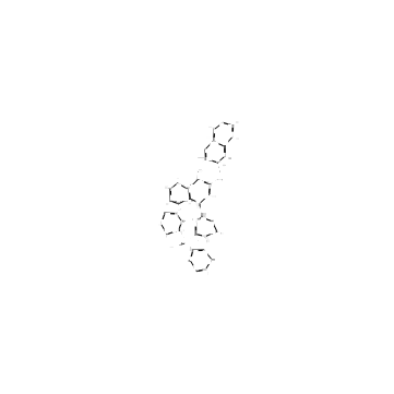 O=P(c1ccccc1)(c1ccccc1)c1cccc(-c2cc3c(c4ccccc24)Oc2cc4ccccc4cc2O3)n1